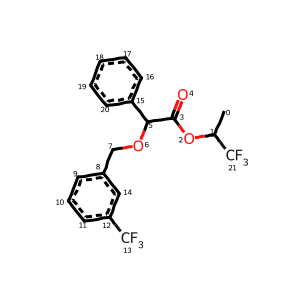 CC(OC(=O)C(OCc1cccc(C(F)(F)F)c1)c1ccccc1)C(F)(F)F